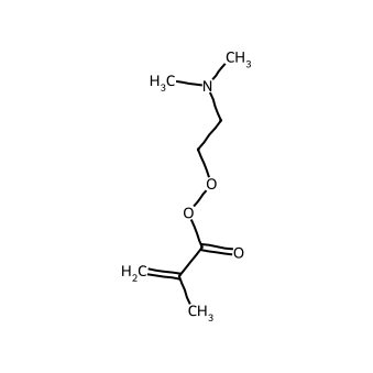 C=C(C)C(=O)OOCCN(C)C